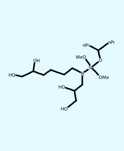 CCCC(CCC)O[Si](OC)(OC)N(CCCCC(O)CO)CC(O)CO